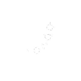 CCOc1cc(=O)[nH]cc1-c1ncc(NC(=O)Nc2ccc(CN(C)C)c(C(F)(F)F)c2)c(C)n1